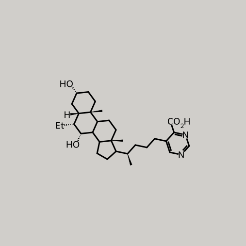 CC[C@H]1[C@@H](O)C2C3CCC([C@H](C)CCCc4cncnc4C(=O)O)[C@@]3(C)CCC2[C@@]2(C)CC[C@@H](O)C[C@@H]12